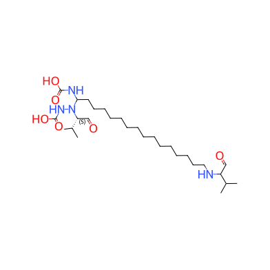 CC(C)C(C=O)NCCCCCCCCCCCCCCCC(NC(=O)O)N(NC(=O)O)[C@H](C=O)C(C)C